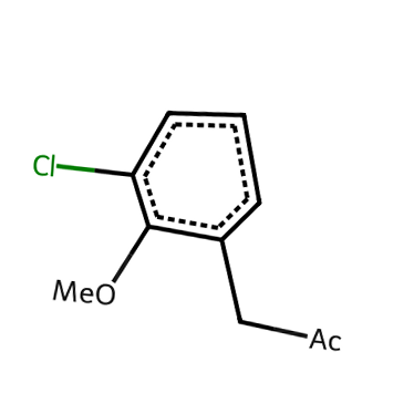 COc1c(Cl)cccc1CC(C)=O